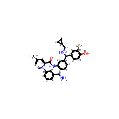 C=C(/C=C(/C(=O)Nc1cccc(C(NCC2CC2)c2ccc(O)c(Br)c2)c1)N(C)c1cccc(CN)c1)C(F)(F)F